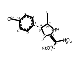 CCOC(=O)C(=C1N[C@H](C)[C@@H](c2ccc(Cl)cc2)S1)[N+](=O)[O-]